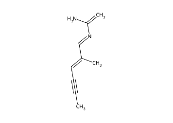 C=C(N)/N=C/C(C)=C/C#CC